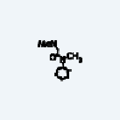 CNCC(=O)N(C)c1[c]cccc1